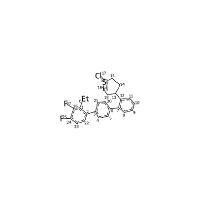 CCc1c(-c2ccc(-c3ccccc3C3CC[SiH](Cl)CC3)cc2)ccc(F)c1F